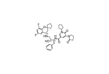 O=C(N[C@@H](Cc1ccccc1)[C@H](O)CN[C@H]1CC2(CCCC2)Oc2c(F)cc(F)cc21)c1cc(N2CCCC2=O)c(=O)n(C2CCCC2)c1